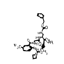 CC#CC(O)C(CNC(=O)OCc1ccccc1)NC(=O)CNC(=O)c1cc(C(F)(F)F)ccc1NC(=O)N1CCC1